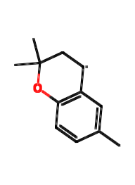 Cc1ccc2c(c1)[CH]CC(C)(C)O2